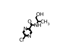 CC(CO)NC(=O)c1cnc(Cl)cn1